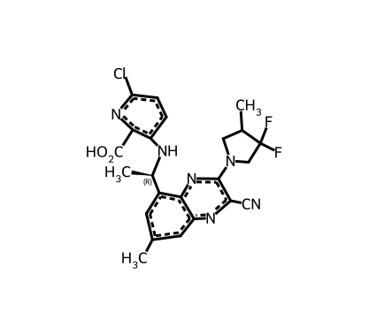 Cc1cc([C@@H](C)Nc2ccc(Cl)nc2C(=O)O)c2nc(N3CC(C)C(F)(F)C3)c(C#N)nc2c1